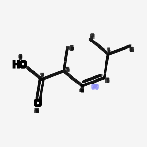 CC(C)/C=C\C(C)C(=O)O